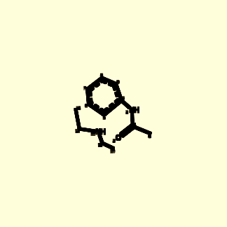 CC(=O)Nc1ccccc1.CCNCC